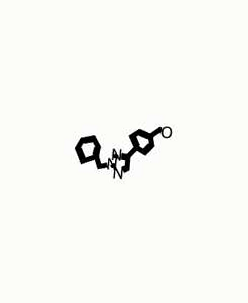 O=Cc1ccc(-c2cnn(Cc3ccccc3)n2)cc1